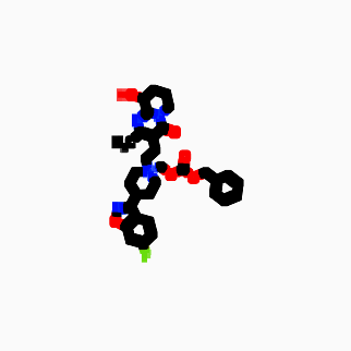 Cc1nc2n(c(=O)c1CC[N+]1(COC(=O)OCc3ccccc3)CCC(c3noc4cc(F)ccc34)CC1)CCCC2O